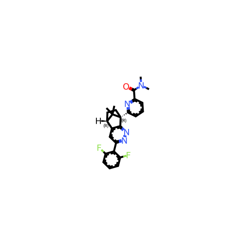 CN(C)C(=O)c1cccc([C@]23CC[C@@H](c4cc(-c5c(F)cccc5F)nnc42)C3(C)C)n1